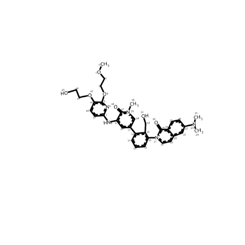 COCCOc1nc(Nc2cc(-c3cccc(-n4ccc5cc(N(C)C)ccc5c4=O)c3CO)cn(C)c2=O)ccc1OCCO